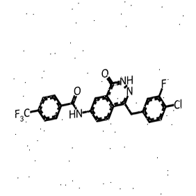 O=C(Nc1ccc2c(Cc3ccc(Cl)c(F)c3)n[nH]c(=O)c2c1)c1ccc(C(F)(F)F)cc1